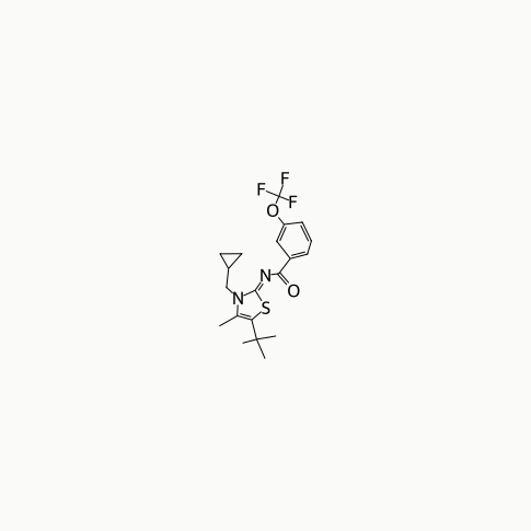 Cc1c(C(C)(C)C)s/c(=N\C(=O)c2cccc(OC(F)(F)F)c2)n1CC1CC1